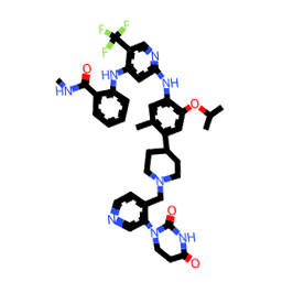 CNC(=O)c1ccccc1Nc1cc(Nc2cc(C)c(C3CCN(Cc4ccncc4N4CCC(=O)NC4=O)CC3)cc2OC(C)C)ncc1C(F)(F)F